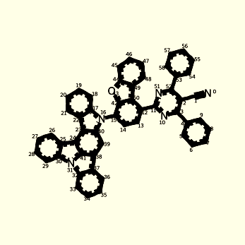 N#Cc1c(-c2ccccc2)nc(-c2ccc(-n3c4ccccc4c4c5c6ccccc6n6c7ccccc7c(cc43)c56)c3oc4ccccc4c23)nc1-c1ccccc1